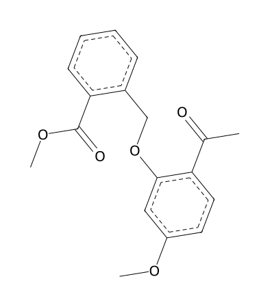 COC(=O)c1ccccc1COc1cc(OC)ccc1C(C)=O